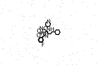 CN1CCC(C#N)(NC(=O)C(CCC2CCCCC2)/N=c2\[nH]c(=O)oc3ccc(F)cc23)CC1